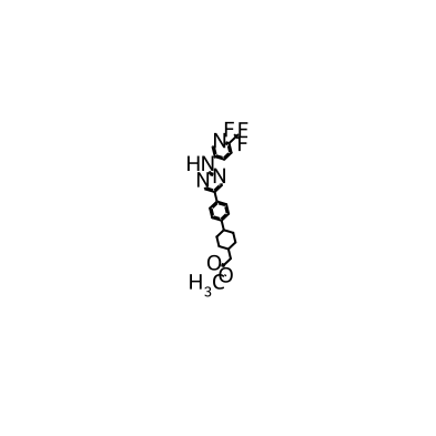 COC(=O)CC1CCC(c2ccc(-c3cnc(Nc4ccc(C(F)(F)F)nc4)nc3)cc2)CC1